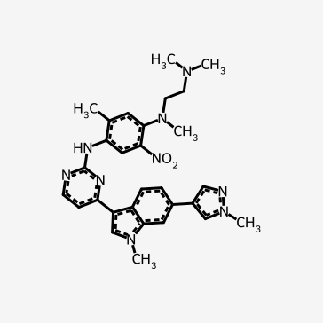 Cc1cc(N(C)CCN(C)C)c([N+](=O)[O-])cc1Nc1nccc(-c2cn(C)c3cc(-c4cnn(C)c4)ccc23)n1